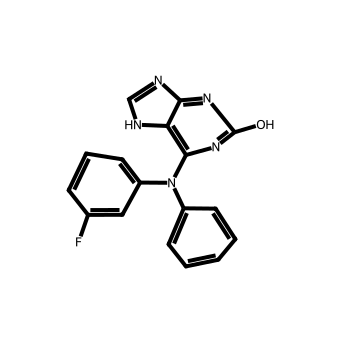 Oc1nc(N(c2ccccc2)c2cccc(F)c2)c2[nH]cnc2n1